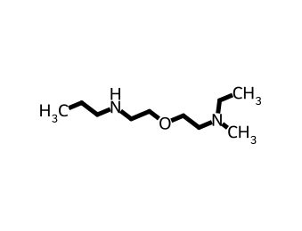 CCCNCCOCCN(C)CC